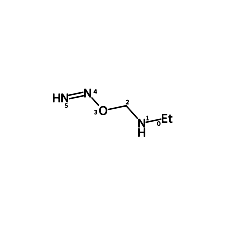 CCNCON=N